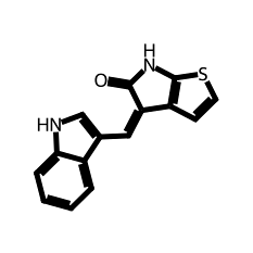 O=C1Nc2sccc2C1=Cc1c[nH]c2ccccc12